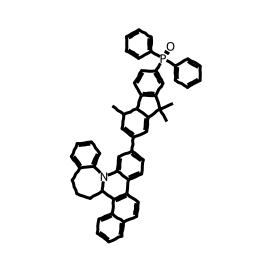 CC1C=C(c2ccc3c(c2)N2c4ccccc4CCCC2c2c-3ccc3ccccc23)C=C2C1c1ccc(P(=O)(c3ccccc3)c3ccccc3)cc1C2(C)C